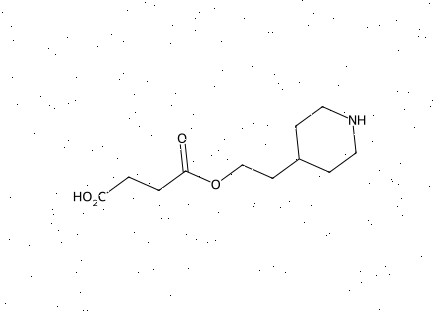 O=C(O)CCC(=O)OCCC1CCNCC1